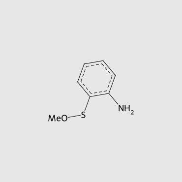 COSc1ccccc1N